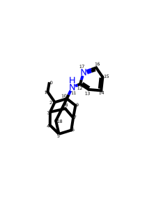 CCC1C2CC3CC(C2)CC1(Nc1ccccn1)C3